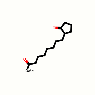 COC(=O)CCCCCCCC1CCCC1=O